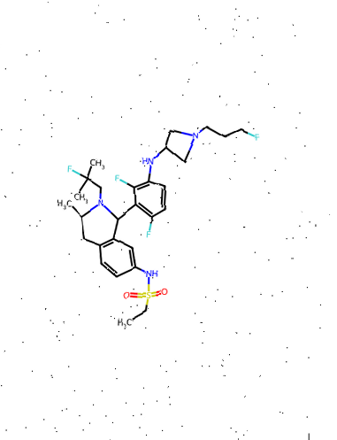 CCS(=O)(=O)Nc1ccc2c(c1)C(c1c(F)ccc(NC3CN(CCCF)C3)c1F)N(CC(C)(C)F)C(C)C2